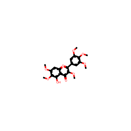 COc1cc(-c2oc3cc(OC)c(OC)c(O)c3c(=O)c2OC)cc(OC)c1OC